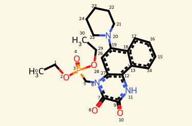 CCOP(=O)(Cn1c(=O)c(=O)[nH]c2c3ccccc3c(N3CCCCC3)cc21)OCC